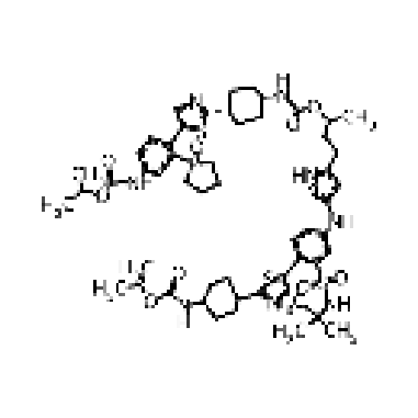 CC(C)OC(=O)Nc1ccc(-c2cnc([C@H]3CC[C@H](NC(=O)OC(C)CCc4cc(Nc5ccc(-c6cnc(C7CCC(NC(=O)OC(C)C)CC7)s6)c(S(=O)(=O)NC(C)(C)C)c5)n[nH]4)CC3)s2)c(P2(=O)CCCC2)c1